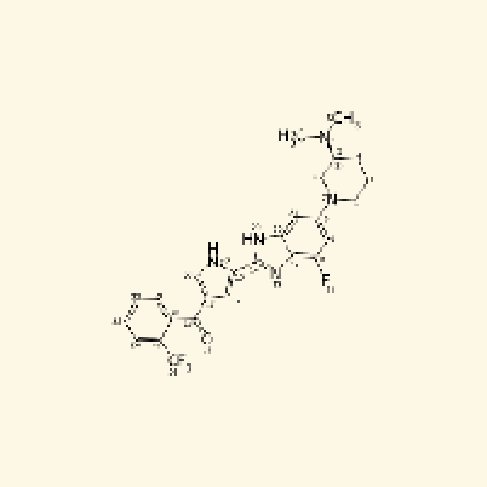 CN(C)[C@H]1CCCN(c2cc(F)c3nc(-c4cc(C(=O)c5ccccc5C(F)(F)F)c[nH]4)[nH]c3c2)C1